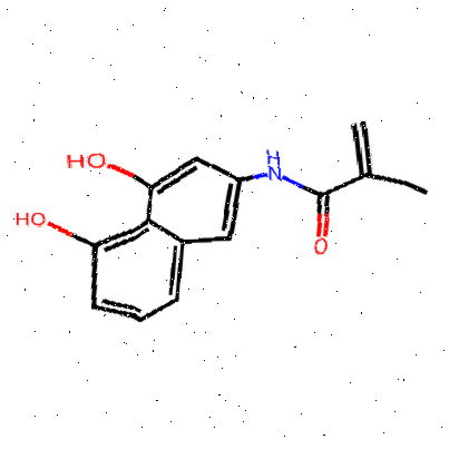 C=C(C)C(=O)Nc1cc(O)c2c(O)cccc2c1